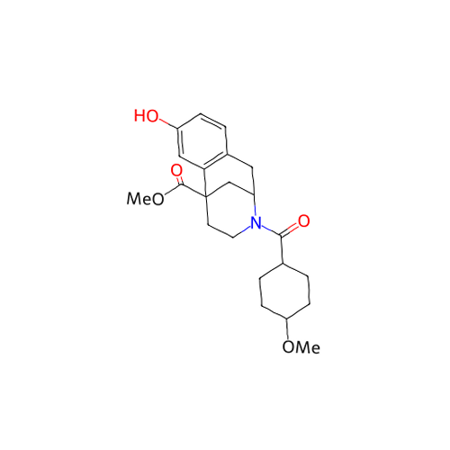 COC(=O)C12CCN(C(=O)C3CCC(OC)CC3)C(Cc3ccc(O)cc31)C2